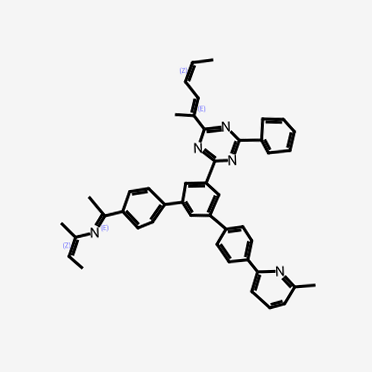 C/C=C\C=C(/C)c1nc(-c2ccccc2)nc(-c2cc(-c3ccc(/C(C)=N/C(C)=C\C)cc3)cc(-c3ccc(-c4cccc(C)n4)cc3)c2)n1